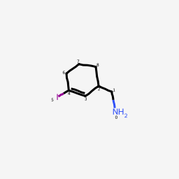 NCC1C=C(I)CCC1